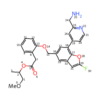 COCC(C)OC(=O)Cc1ccccc1OCc1cc(-c2ccnc(CN)c2)c2oc(F)cc2c1